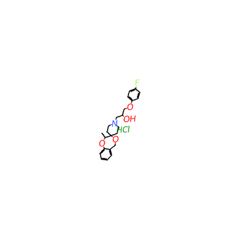 CC1Oc2ccccc2COC12CCN(CC(O)COc1ccc(F)cc1)CC2.Cl